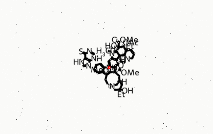 CC[C@]1(O)C[C@@H]2C[N@@](CCc3c([nH]c4ccccc34)[C@@](C(=O)OC)(c3cc4c(cc3OC)N(C)[C@H]3[C@@](O)(C(=O)OC)[C@H](OC(C)=O)[C@]5(CC)C=CCN6CC[C@]43[C@@H]65)C2)C1.S=c1nc[nH]c2nc[nH]c12